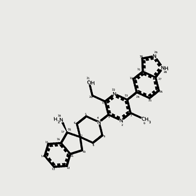 Cc1nc(N2CCC3(CC2)Cc2ccccc2[C@H]3N)c(CO)nc1-c1ccc2[nH]ncc2c1